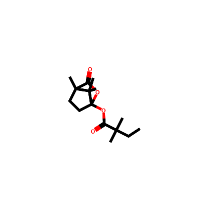 CCC(C)(C)C(=O)OC12CCC(C)(C(=O)O1)C2(C)C